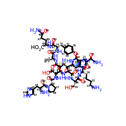 CC(C)[C@H](NC(=O)[C@H](C)NC(=O)[C@H](Cc1c[nH]cn1)NC(=O)[C@H](CCC(N)=O)NC(=O)[C@H](CCCCN)NC(=O)[C@H](CO)NC(=O)[C@H](CS)NC(=O)[C@H](CO)NC(=O)[C@@H]1CCCN1C(=O)[C@@H](N)Cc1c[nH]cn1)C(=O)N[C@@H](Cc1ccccc1)C(=O)N[C@@H](CCC(N)=O)C(=O)O